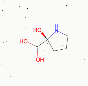 OC(O)[C@@]1(O)CCCN1